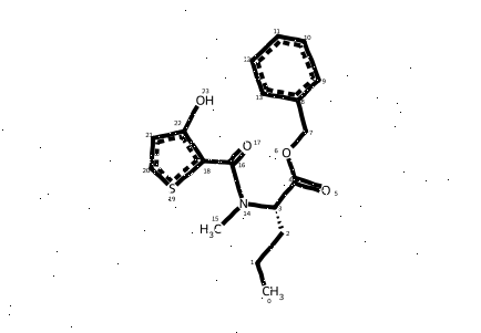 CCC[C@@H](C(=O)OCc1ccccc1)N(C)C(=O)c1sccc1O